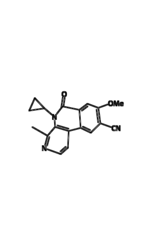 COc1cc2c(=O)n(C3CC3)c3c(C)nccc3c2cc1C#N